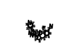 N#Cc1ccc(CC2CCN(c3nnc(-c4ccncc4)[nH]3)C2=O)cc1F